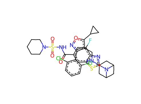 O=C(NS(=O)(=O)N1CCCCC1)c1cc(F)c2nc(N3C4CC(NCc5c(-c6c(Cl)cccc6Cl)noc5C5CC5)CC3C4)sc2c1